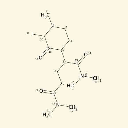 CC1CCC(C(CCC(=O)N(C)C)C(=O)N(C)C)C(=O)C1I